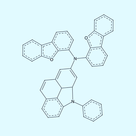 C1=Cc2cccc3c2C2C1=CC(N(c1cccc4c1oc1ccccc14)c1cccc4c1oc1ccccc14)=CC2N3c1ccccc1